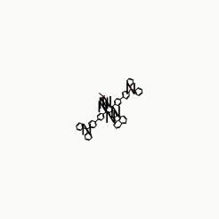 CC(C)Cn1nc2c(-c3ccc(-c4ccc(N(c5ccccc5)c5ccccc5)cc4)cc3)c3nc4c(nc3c(-c3ccc(-c5ccc(N(c6ccccc6)c6ccccc6)cc5)cc3)c2n1)-c1cccc2cccc-4c12